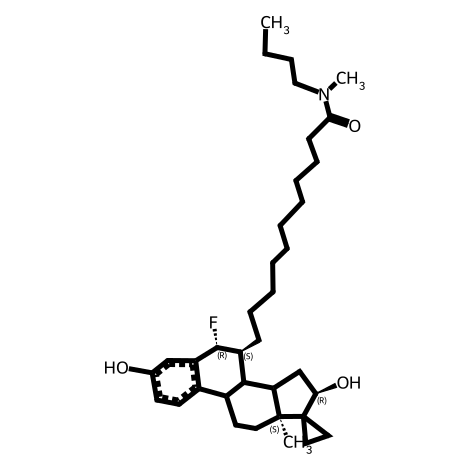 CCCCN(C)C(=O)CCCCCCCCCC[C@H]1C2C(CC[C@@]3(C)C2C[C@@H](O)C32CC2)c2ccc(O)cc2[C@@H]1F